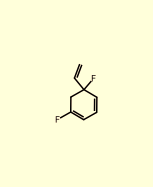 C=CC1(F)C=CC=C(F)C1